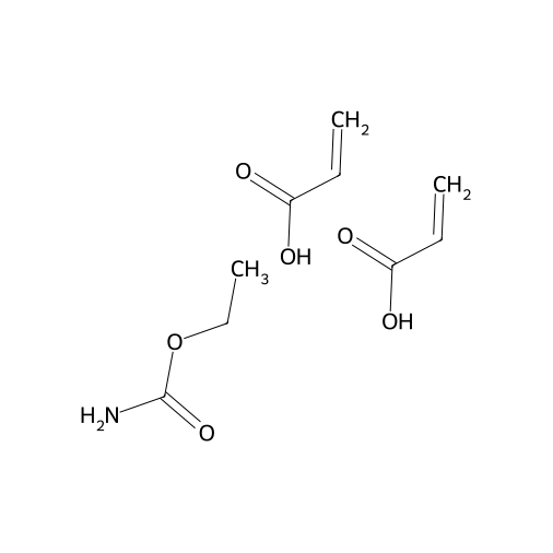 C=CC(=O)O.C=CC(=O)O.CCOC(N)=O